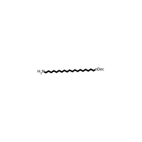 [CH2]CCCCCCCCCCCCCCCCCCCCCCCCCCCCN